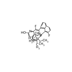 CC(C)[Si](C#Cc1c(F)ccc2cccc(-c3ncc4c(O)cc(O)nc4c3F)c12)(C(C)C)C(C)C